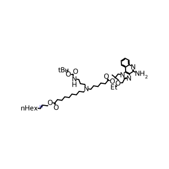 CCCCCC/C=C/COC(=O)CCCCCCCCN(CCCCCC(=O)OC(C)(C)Cn1c(COCC)nc2c(N)nc3ccccc3c21)CCCNC(=O)OC(C)(C)C